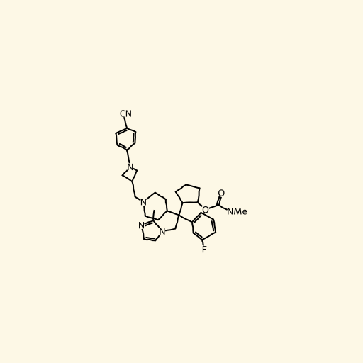 CNC(=O)OC1CCCC1C(Cn1ccnc1C)(c1cccc(F)c1)C1CCN(CC2CN(c3ccc(C#N)cc3)C2)CC1